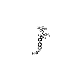 CC(CCC(=O)NC=O)N1C(=O)c2ccc(N3CCC4(CCN(CC5CNC5)CC4)CC3)cc2C1=O